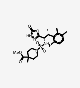 COC(=O)C1(C)CCN(S(=O)(=O)N[C@H](c2n[nH]c(=O)o2)[C@H](C)c2c(F)ccc(C)c2C)CC1